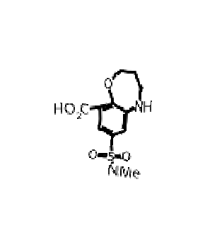 CNS(=O)(=O)c1cc2c(c(C(=O)O)c1)OCCCN2